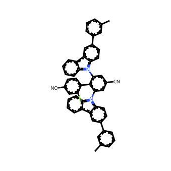 Cc1cccc(-c2ccc3c(c2)c2ccccc2n3-c2cc(C#N)cc(-n3c4ccccc4c4cc(-c5cccc(C)c5)ccc43)c2-c2ccc(C#N)cc2F)c1